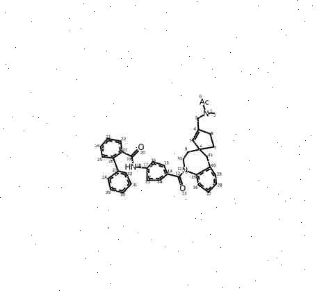 CC(=O)N(C)CC1=CC2(CC1)CCN(C(=O)c1ccc(NC(=O)c3ccccc3-c3ccccc3)cc1)c1ccccc1C2